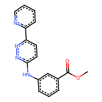 COC(=O)c1cccc(Nc2ccc(-c3ccccn3)nn2)c1